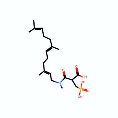 CC(C)=CCCC(C)=CCCC(C)=CCN(C)C(=O)C(CP(=O)(O)O)C(=O)O